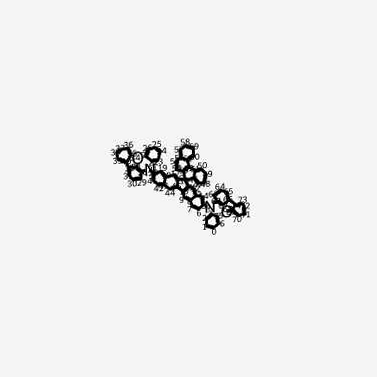 c1ccc(N(c2ccc3cc4c(cc3c2)C2(c3cc5cc(N(c6ccccc6)c6cccc7c6oc6ccccc67)ccc5cc3-4)c3ccccc3-c3c2ccc2ccccc32)c2cccc3c2oc2ccccc23)cc1